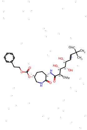 CO[C@@H](C(=O)N[C@H]1CC[C@@H](OC(=O)OCCc2ccccc2)CNC1=O)[C@H](O)[C@@H](O)[C@H](O)/C=C/C(C)(C)C=O